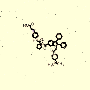 CN(C)C1CCN(C(=O)Cn2c(-c3ccccc3)c(C3CCCCC3)c3ccc(C(=O)NC4(C(=O)Nc5ccc(/C=C/C(=O)O)cc5)CCCC4)cc32)CC1